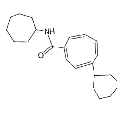 O=C(NC1CCCCCC1)C1=C/C=C(C2CCCCC2)\C=C/C=C\1